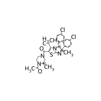 CC(=O)N1CCN(C(=O)C2=C(C(C)C)N3C(=N[C@@](C)(c4ccc(Cl)cc4)[C@H]3c3ccc(Cl)cc3)S2)C[C@H]1C